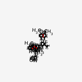 COc1ccc(CN(Cc2ccc(OC)cc2)c2cc(-c3nc4c5c(nc(OC[C@@H]6CC[C@H]7COCCN76)nc5c3F)N3C[C@H]5CC[C@@H]([C@H]3[C@H](C)O4)N5C(=O)OC(C)(C)C)c(I)c(C3CC3)c2F)cc1